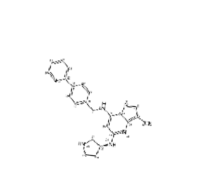 N#Cc1cnn2c(NCc3ccc(-c4ccccn4)cc3)cc(N[C@H]3CCNC3)nc12